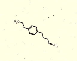 C=CCCCc1ccc(CCC)cc1